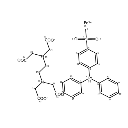 CS(=O)(=O)c1ccc([PH+](c2ccccc2)c2ccccc2)cc1.O=C([O-])CN(CCN(CC(=O)[O-])CC(=O)[O-])CC(=O)[O-].[Fe+3]